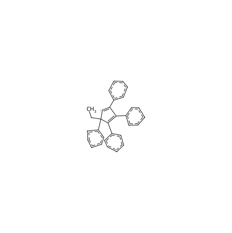 CCC1(c2ccccc2)[C]=C(c2ccccc2)C(c2ccccc2)=C1c1ccccc1